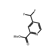 COC(=O)c1cc(C(F)F)ccn1